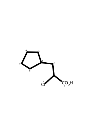 O=C(O)C(Cl)CC1CCCC1